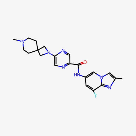 Cc1cn2cc(NC(=O)c3cnc(N4CC5(CCN(C)CC5)C4)cn3)cc(F)c2n1